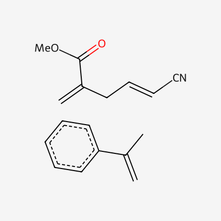 C=C(C)c1ccccc1.C=C(CC=CC#N)C(=O)OC